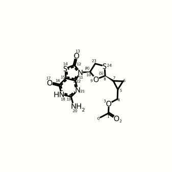 CC(=O)OCC1CC1[C@H]1O[C@@H](n2c(=O)sc3c(=O)[nH]c(N)nc32)CS1